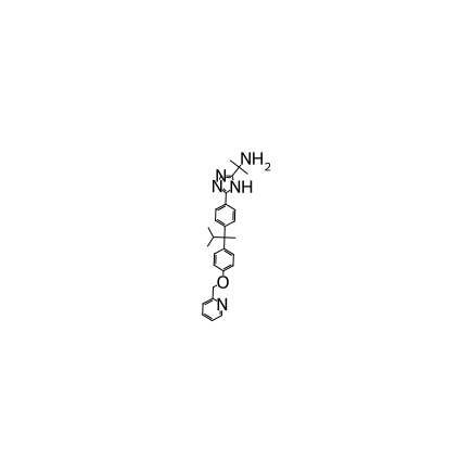 CC(C)C(C)(c1ccc(OCc2ccccn2)cc1)c1ccc(-c2nnc(C(C)(C)N)[nH]2)cc1